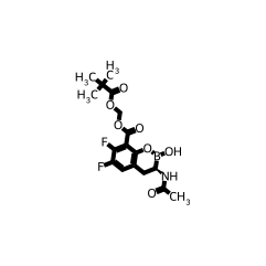 CC(=O)N[C@H]1Cc2cc(F)c(F)c(C(=O)OCOC(=O)C(C)(C)C)c2OB1O